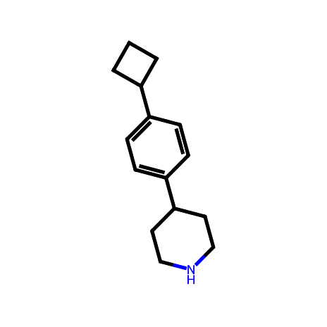 c1cc(C2CCNCC2)ccc1C1CCC1